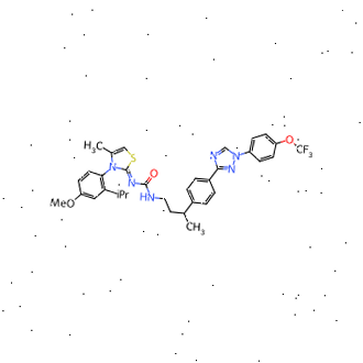 COc1ccc(-n2c(C)cs/c2=N\C(=O)NCCC(C)c2ccc(-c3ncn(-c4ccc(OC(F)(F)F)cc4)n3)cc2)c(C(C)C)c1